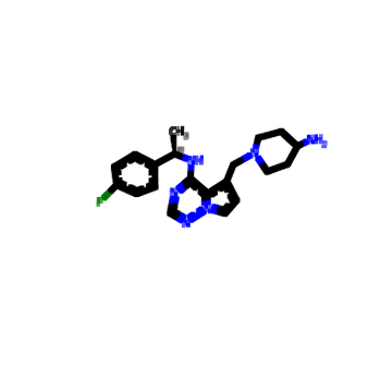 C[C@@H](Nc1ncnn2ccc(CN3CCC(N)CC3)c12)c1ccc(F)cc1